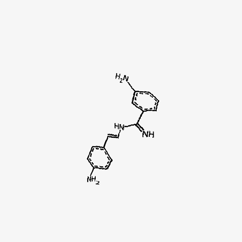 N=C(NC=Cc1ccc(N)cc1)c1cccc(N)c1